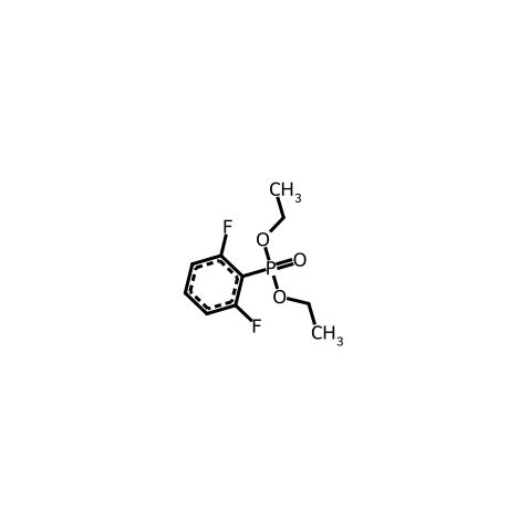 CCOP(=O)(OCC)c1c(F)cccc1F